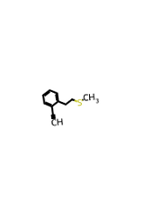 C#Cc1ccccc1CCSC